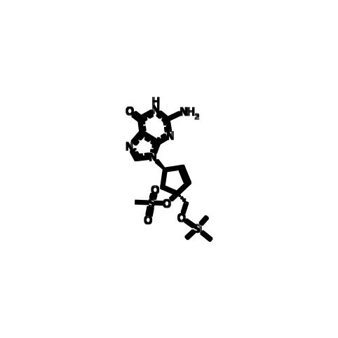 C[Si](C)(C)OC[C@@]1(OS(C)(=O)=O)C=C[C@H](n2cnc3c(=O)[nH]c(N)nc32)C1